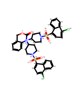 O=C1OCc2ccccc2[N+]1(C1CCN(S(=O)(=O)c2ccc(F)c3ccccc23)CC1)C1CCN(S(=O)(=O)c2ccc(Cl)c3ccccc23)CC1